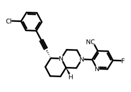 N#Cc1cc(F)cnc1N1CCN2[C@@H](CCC[C@@H]2C#Cc2cccc(Cl)c2)C1